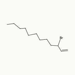 C=CC(Br)CCCCCCCCC